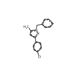 Cc1cc(-c2ccc(Cl)cc2)nn1Cc1ccccc1